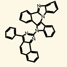 c1ccc(-c2nc(-n3c4ccccc4c4c3c3ccccc3c3nc5ccccc5n34)nc3c2ccc2ccccc23)cc1